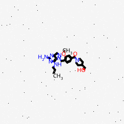 CCCCNc1nc(N)nc2cnn(Cc3ccc(C(=O)N4CCC(CO)CC4)cc3OC)c12